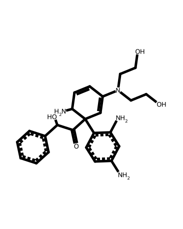 Nc1ccc(C2(C(=O)C(O)c3ccccc3)C=C(N(CCO)CCO)C=CC2N)c(N)c1